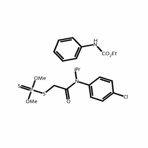 CCOC(=O)Nc1ccccc1.COP(=S)(OC)SCC(=O)N(c1ccc(Cl)cc1)C(C)C